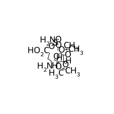 CC1(C)O[C@@H]2[C@@H](CO[C@@]3(COS(N)(=O)=O)OC(C)(C)O[C@@H]23)O1.NCCCC(=O)O